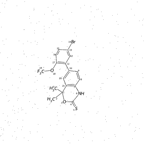 CC1(C)OC(=S)Nc2ccc(-c3cc(Br)ccc3OC(F)(F)F)cc21